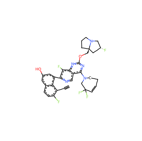 C#Cc1c(F)ccc2cc(O)cc(-c3ncc4c(N5CCC=CC(F)(F)C5)nc(OC[C@@]56CCCN5C[C@H](F)C6)nc4c3F)c12